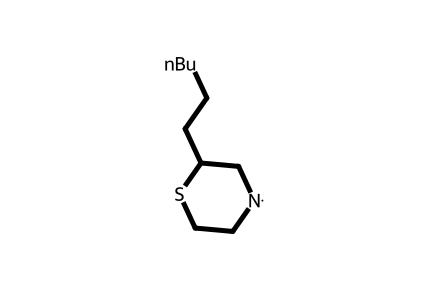 CCCCCCC1C[N]CCS1